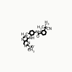 Cc1ccc(NC(=O)c2cccc(C(C)(C)C#N)c2)cc1Nc1ncnc2cnc([S+](C)[O-])nc12